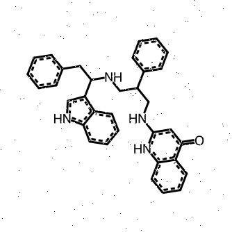 O=c1cc(NCC(CNC(Cc2ccccc2)c2c[nH]c3ccccc23)c2ccccc2)[nH]c2ccccc12